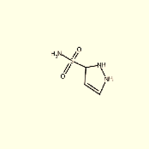 NS(=O)(=O)C1C=CNN1